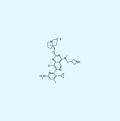 Cc1cc(N)nc(-c2ncc3c(N(C)CC4CNC4)nc(OC[C@@]45CCCN4C[C@H](F)C5)nc3c2F)c1C1CC1